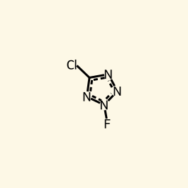 Fn1nnc(Cl)n1